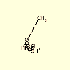 CCCCCCCCCCCCCCCCCCOc1ccc(S(=O)(=O)Nc2ccc(O)c(OC)c2)cc1